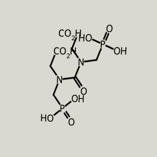 O=C(O)CN(CP(=O)(O)O)C(=O)N(CC(=O)O)CP(=O)(O)O